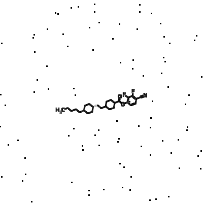 CCCCC[C@H]1CC[C@H](CCC2CCC(C(=O)Oc3ccc(C#N)c(F)c3F)CC2)CC1